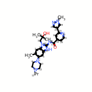 Cc1cc2c(cc1N1CCN(C(C)C)CC1)[nH]/c(=N\C(=O)c1ccnc(-c3cnn(C)c3)c1)n2CC(C)(C)O